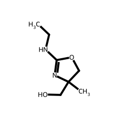 CCNC1=NC(C)(CO)CO1